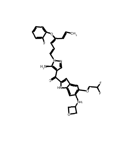 C/C=C/C(=C\C=C\n1ncc(C(=O)c2cc3cc(OCC(F)F)c(NC4COC4)cc3[nH]2)c1N)Oc1ccccc1F